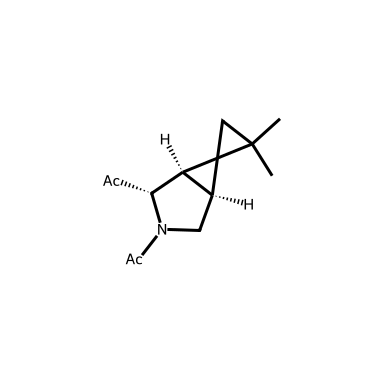 CC(=O)[C@@H]1[C@@H]2[C@H](CN1C(C)=O)C21CC1(C)C